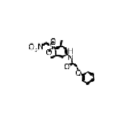 Cc1cc(NC(=O)COc2ccccc2)cc(C)c1S(=O)(=O)C[N+](=O)[O-]